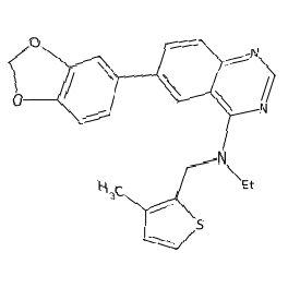 CCN(Cc1sccc1C)c1ncnc2ccc(-c3ccc4c(c3)OCO4)cc12